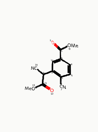 COC(=O)c1ccc(C#N)c(C(C#N)C(=O)OC)c1